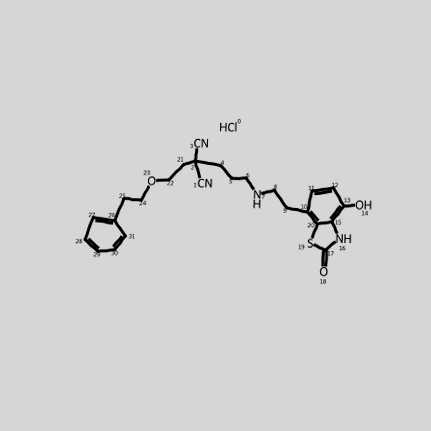 Cl.N#CC(C#N)(CCCNCCc1ccc(O)c2[nH]c(=O)sc12)CCOCCc1ccccc1